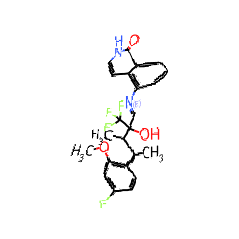 COc1cc(F)ccc1C(C)C(C)C(O)(/C=N/c1cccc2c(=O)[nH]ccc12)C(F)(F)F